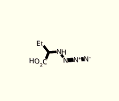 CCC(NN=[N+]=[N-])C(=O)O